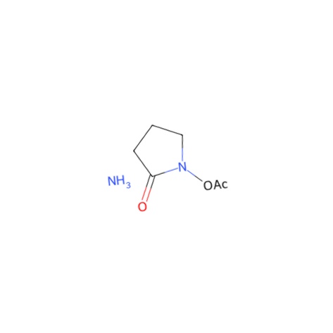 CC(=O)ON1CCCC1=O.N